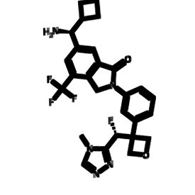 Cn1cnnc1[C@H](F)C1(c2cccc(N3Cc4c(cc([C@@H](N)C5CCC5)cc4C(F)(F)F)C3=O)c2)COC1